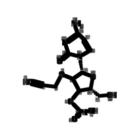 C#CCOC1C(O[PH](=O)O)[C@@H](CO)O[C@H]1n1ccc(N)nc1=O